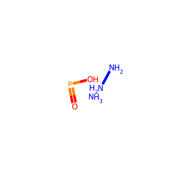 N.NN.O=PO